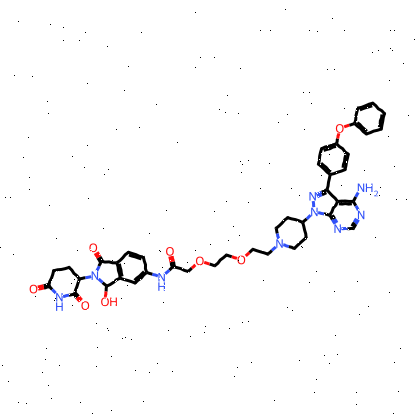 Nc1ncnc2c1c(-c1ccc(Oc3ccccc3)cc1)nn2C1CCN(CCOCCOCC(=O)Nc2ccc3c(c2)C(O)N(C2CCC(=O)NC2=O)C3=O)CC1